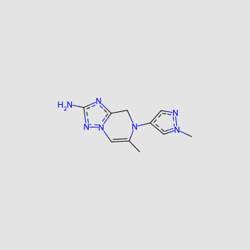 CC1=Cn2nc(N)nc2CN1c1cnn(C)c1